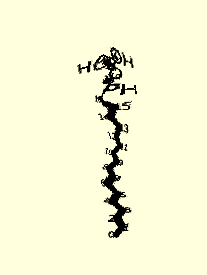 CCCCCCCCCCCCCCCCCPCOB(O)O